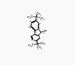 CC(C)(C)c1ccc2c(c1)C(O)c1cc(C(C)(C)C)ccc1-2